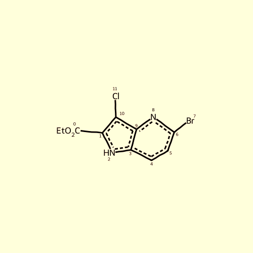 CCOC(=O)c1[nH]c2ccc(Br)nc2c1Cl